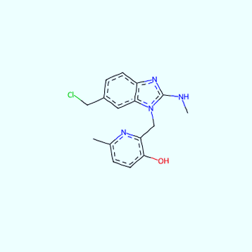 CNc1nc2ccc(CCl)cc2n1Cc1nc(C)ccc1O